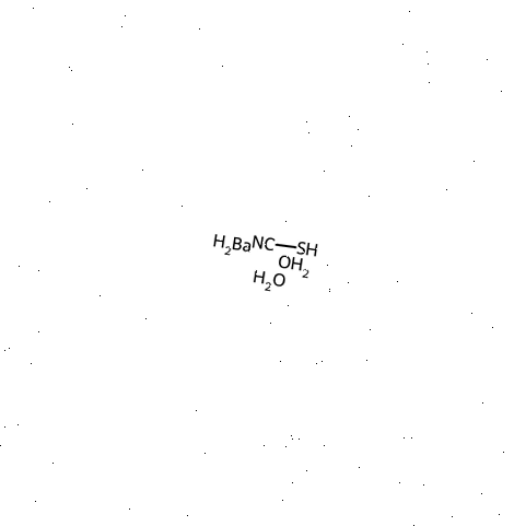 N#CS.O.O.[BaH2]